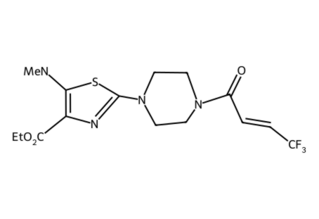 CCOC(=O)c1nc(N2CCN(C(=O)C=CC(F)(F)F)CC2)sc1NC